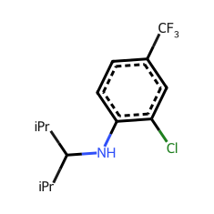 CC(C)C(Nc1ccc(C(F)(F)F)cc1Cl)C(C)C